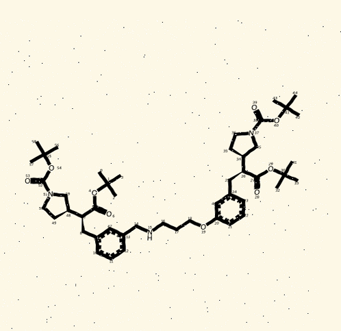 CC(C)(C)OC(=O)[C@@H](Cc1cccc(CNCCCOc2cccc(C[C@H](C(=O)OC(C)(C)C)[C@H]3CCN(C(=O)OC(C)(C)C)C3)c2)c1)[C@H]1CCN(C(=O)OC(C)(C)C)C1